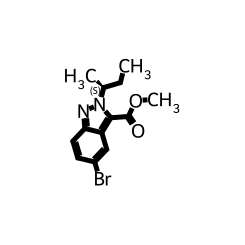 CC[C@H](C)n1nc2ccc(Br)cc2c1C(=O)OC